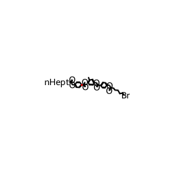 CCCCCCCC(=O)Oc1ccc(C(=O)Oc2ccc(OC(=O)c3ccc(OC(=O)CCCCCBr)cc3)cc2C)cc1